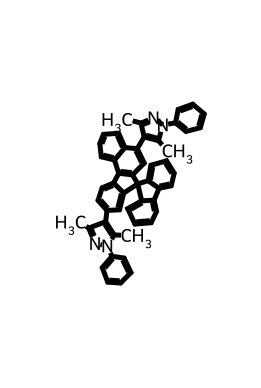 Cc1nn(-c2ccccc2)c(C)c1-c1ccc2c(c1)C1(c3ccccc3-c3ccccc31)c1cc(-c3c(C)nn(-c4ccccc4)c3C)c3ccccc3c1-2